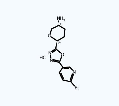 CCc1ccc(-c2nnc([C@@H]3CC[C@@H](N)CO3)o2)cn1.Cl